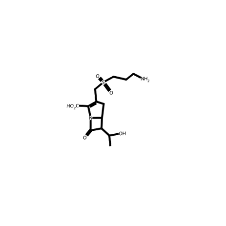 CC(O)C1C(=O)N2C(C(=O)O)=C(CS(=O)(=O)CCCN)CC12